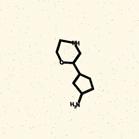 NC1CCC(C2CNCCO2)C1